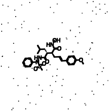 COc1ccc(C=CC[C@H](C(=O)NO)[C@@H](CC(C)C)C(=O)NN(c2ccccc2)S(C)(=O)=O)cc1